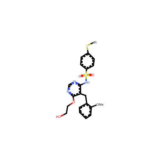 COc1ccccc1Cc1c(NS(=O)(=O)c2ccc(SC(C)C)cc2)ncnc1OCCO